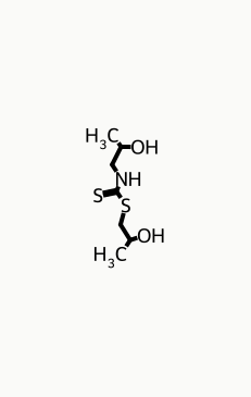 CC(O)CNC(=S)SCC(C)O